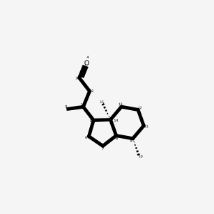 CC(CC=O)C1CCC2[C@@H](C)CCC[C@]12C